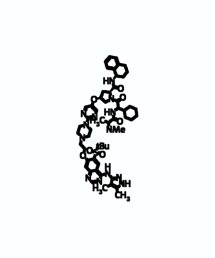 CNC(C)C(=O)NC(C(=O)N1C[C@@H](Oc2cnc(N3CCN(CCOc4cc5ncnc(Nc6n[nH]c(C)c6C)c5cc4S(=O)(=O)C(C)(C)C)CC3)nc2)C[C@H]1C(=O)N[C@@H]1CCCc2ccccc21)C1CCCCC1